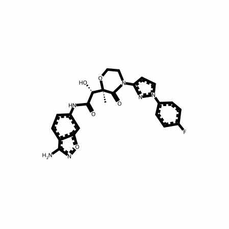 C[C@]1([C@@H](O)C(=O)Nc2ccc3c(N)noc3c2)OCCN(c2ccn(-c3ccc(F)cc3)n2)C1=O